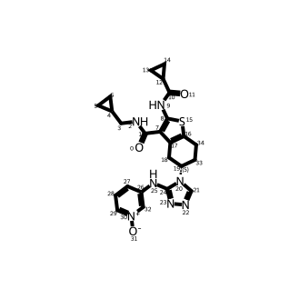 O=C(NCC1CC1)c1c(NC(=O)C2CC2)sc2c1C[C@@H](n1cnnc1Nc1ccc[n+]([O-])c1)CC2